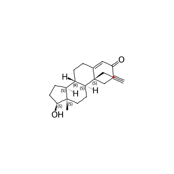 C#CC[C@]12CCC(=O)C=C1CC[C@@H]1[C@@H]2CC[C@]2(C)[C@@H](O)CC[C@@H]12